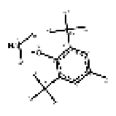 Cc1cc(C(C)(C)C)c(O)c(C(C)(C)C)c1.[CH3][AlH][CH3]